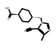 Cc1ncn(C[C@H]2CC[C@H](C(=O)O)CC2)c1C#N